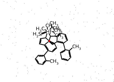 Cc1ccccc1-c1cccc2c1C=C[CH]2[Hf]([CH3])([CH3])(=[SiH2])([CH](C)C)([CH](C)C)[CH]1C=Cc2c(-c3ccccc3C)cccc21